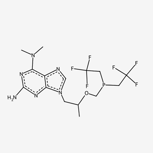 CC(Cn1cnc2c(N(C)C)nc(N)nc21)OCP(CC(F)(F)F)CC(F)(F)F